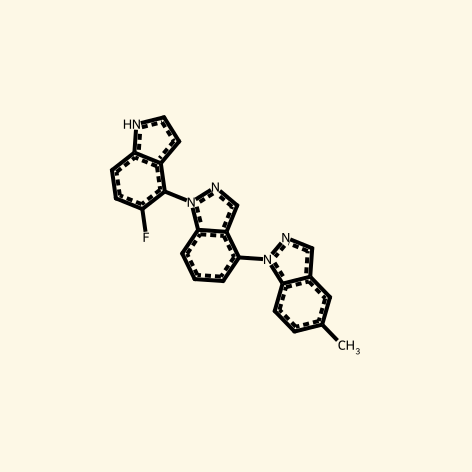 Cc1ccc2c(cnn2-c2cccc3c2cnn3-c2c(F)ccc3[nH]ccc23)c1